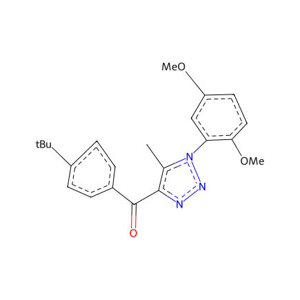 COc1ccc(OC)c(-n2nnc(C(=O)c3ccc(C(C)(C)C)cc3)c2C)c1